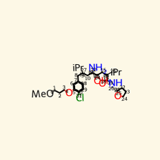 COCCCOc1cc(C[C@@H](C[C@H](N)[C@@H](O)C[C@H](C(=O)NC[C@@H]2CCCO2)C(C)C)C(C)C)ccc1Cl